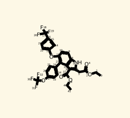 CCOC(=O)Cc1[nH]c2ccc(Oc3ccc(C(F)(F)F)cc3)c(-c3ccc(OC(F)(F)F)cc3)c2c1C(=O)OCC